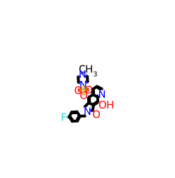 CN1CCN(S(=O)(=O)Oc2c3c(c(O)c4ncccc24)C(=O)N(Cc2ccc(F)cc2)C3)CC1